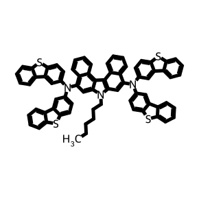 CCCCCCn1c2cc(N(c3ccc4sc5ccccc5c4c3)c3ccc4sc5ccccc5c4c3)c3ccccc3c2c2c3ccccc3c(N(c3ccc4sc5ccccc5c4c3)c3ccc4sc5ccccc5c4c3)cc21